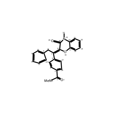 CNC(=O)c1ccc(C(Cc2ccccc2)=C2Oc3ccccc3N(C)C2=O)cc1